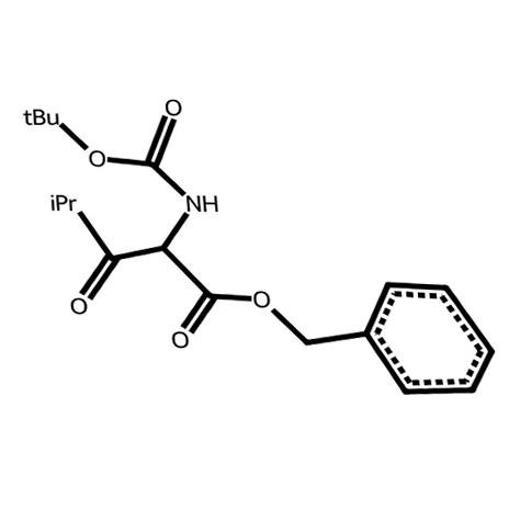 CC(C)C(=O)C(NC(=O)OC(C)(C)C)C(=O)OCc1ccccc1